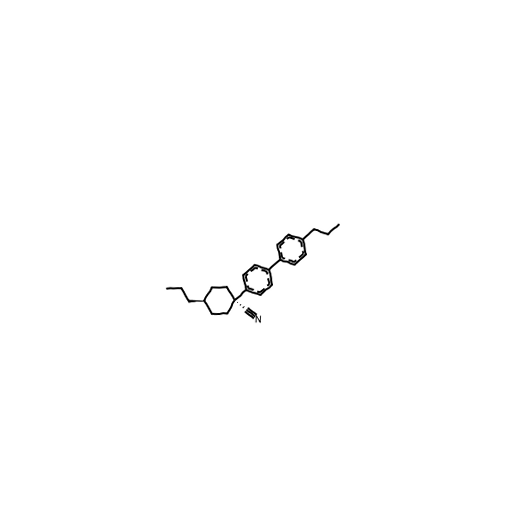 CCCc1ccc(-c2ccc([C@]3(C#N)CC[C@H](CCC)CC3)cc2)cc1